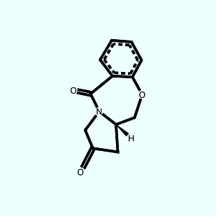 O=C1C[C@H]2COc3ccccc3C(=O)N2C1